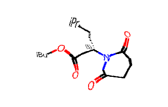 CCC(C)OC(=O)[C@H](CC(C)C)N1C(=O)CCC1=O